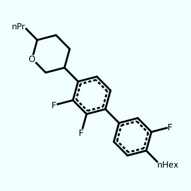 CCCCCCc1ccc(-c2ccc(C3CCC(CCC)OC3)c(F)c2F)cc1F